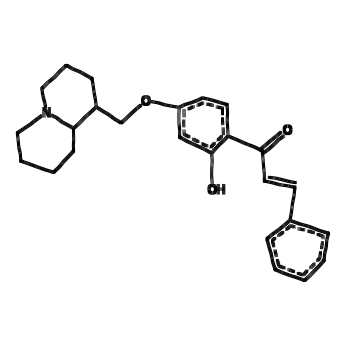 O=C(C=Cc1ccccc1)c1ccc(OCC2CCCN3CCCCC23)cc1O